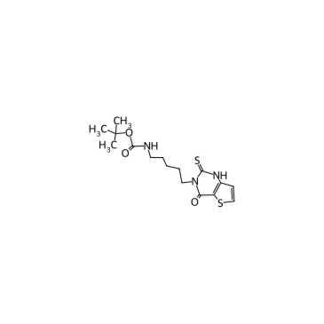 CC(C)(C)OC(=O)NCCCCCn1c(=S)[nH]c2ccsc2c1=O